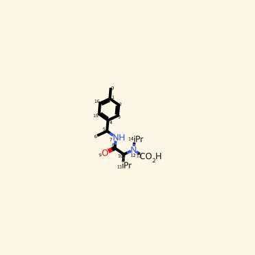 Cc1ccc(C(C)NC(=O)C(C(C)C)N(C(=O)O)C(C)C)cc1